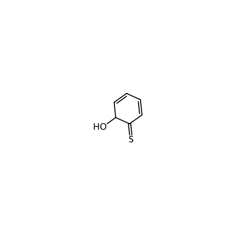 OC1C=CC=CC1=S